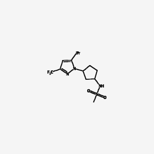 CC(C)c1cc(C(F)(F)F)nn1C1CCC(NS(C)(=O)=O)C1